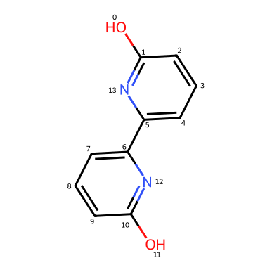 Oc1cccc(-c2cccc(O)n2)n1